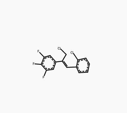 Fc1cc(C(=Cc2ccccc2Cl)CCl)cc(F)c1F